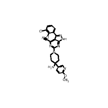 COc1ccc(C2(N)CCN(c3nc(C#N)c4c(-c5cccc(Cl)c5Cl)n[nH]c4n3)CC2)cn1